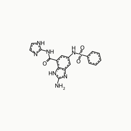 Nc1nc2cc(NS(=O)(=O)c3ccccc3)cc(C(=O)Nc3ncc[nH]3)c2[nH]1